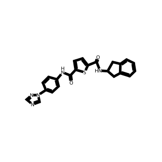 O=C(Nc1ccc(-n2cncn2)cc1)c1ccc(C(=O)NC2Cc3ccccc3C2)s1